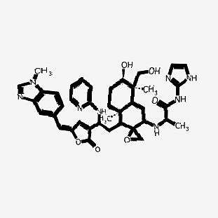 CC(NC1CC2[C@](C)(CC[C@@H](O)[C@@]2(C)CO)C(CC(Nc2ccccn2)C2=C/C(=C\c3ccc4c(c3)ncn4C)OC2=O)C12CO2)C(=O)Nc1ncc[nH]1